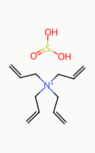 C=CC[N+](CC=C)(CC=C)CC=C.O=S(O)O